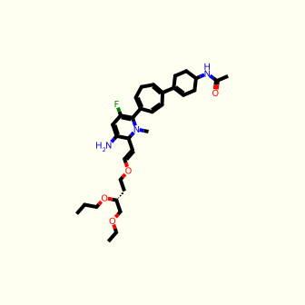 CCCO[C@H](CCO/C=C/C1C(N)=CC(F)=C(C2=CCC=C(C3=CCC(NC(C)=O)CC3)C=C2)N1C)COCC